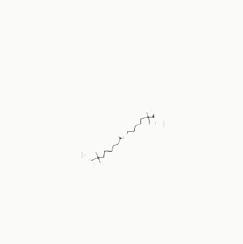 CC(C)(CCCCCOC(=O)CCCCCC(C)(C)C(=O)O)C(=O)O